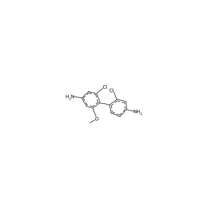 COc1cc(N)cc(Cl)c1-c1ccc(N)cc1Cl